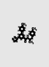 Cc1ccc(CC(C)NC(=O)c2cc(-c3ccc(C)cc3)cc(-n3cnnn3)c2)cc1